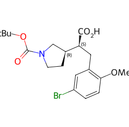 COc1ccc(Br)cc1C[C@H](C(=O)O)[C@H]1CCN(C(=O)OC(C)(C)C)C1